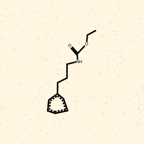 CCOC(=O)NCCCc1ccccc1